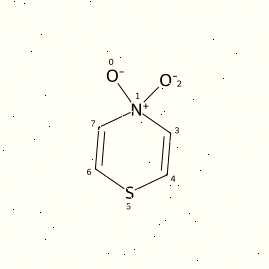 [O-][N+]1([O-])C=CSC=C1